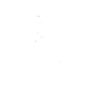 COc1cc2nccc(Oc3ccc(NC(=S)NC(=O)c4cc(Cl)cc(Cl)c4)cc3F)c2cc1OC